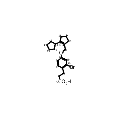 O=C(O)CCc1ccc(OCC2=C(C3CCCC3)CCC2)cc1Br